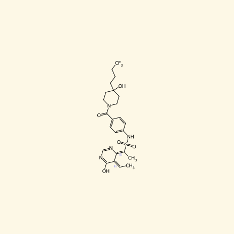 C/C=c1/c(O)ncn/c1=C(/C)S(=O)(=O)Nc1ccc(C(=O)N2CCC(O)(CCCC(F)(F)F)CC2)cc1